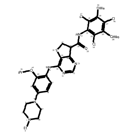 CCN1CCN(c2ccc(Nc3ncnc4c3SCC4C(=O)Nc3c(Cl)c(OC)c(Cl)c(OC)c3Cl)c(OC(C)C)c2)CC1